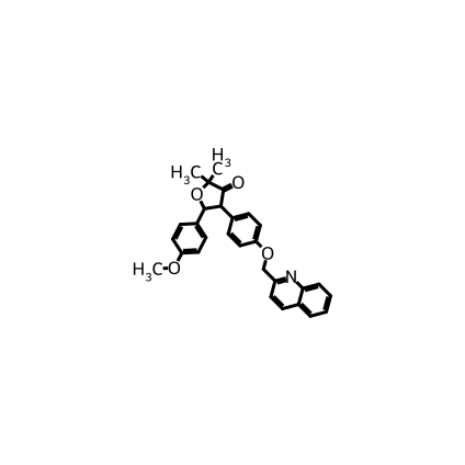 COc1ccc(C2OC(C)(C)C(=O)C2c2ccc(OCc3ccc4ccccc4n3)cc2)cc1